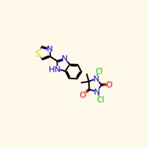 CC1(C)C(=O)N(Cl)C(=O)N1Cl.c1ccc2[nH]c(-c3cscn3)nc2c1